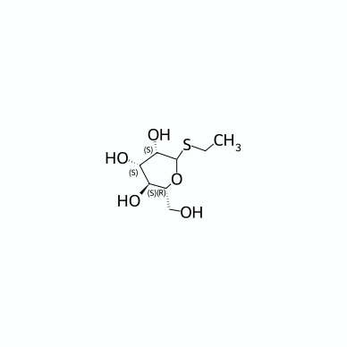 CCSC1O[C@H](CO)[C@@H](O)[C@H](O)[C@@H]1O